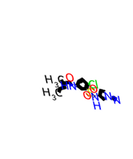 CCCC(C)C(=O)Nc1ccc(Cl)c(S(=O)(=O)N[C@@H]2CCN(C#N)C2)c1